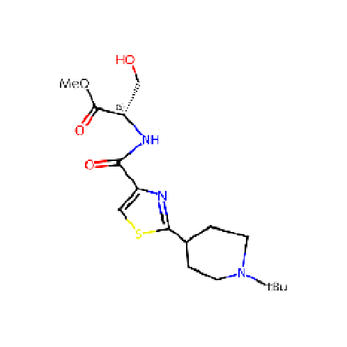 COC(=O)[C@H](CO)NC(=O)c1csc(C2CCN(C(C)(C)C)CC2)n1